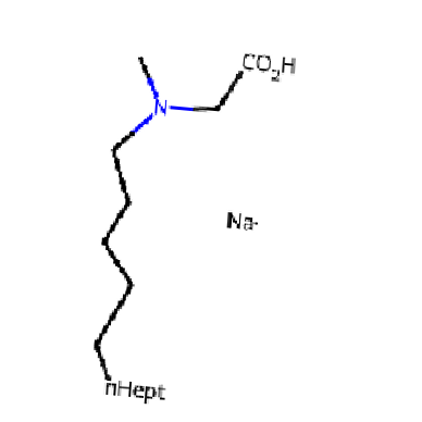 CCCCCCCCCCCCN(C)CC(=O)O.[Na]